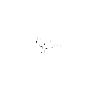 CC(C)(C)O[PH](O)(O)OC(C)(C)C